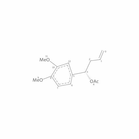 C=CC[C@H](OC(C)=O)c1ccc(OC)c(OC)c1